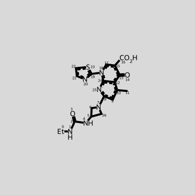 CCNC(=O)NC1CN(c2cc(C)c3c(=O)c(C(=O)O)cn(-c4nccs4)c3n2)C1